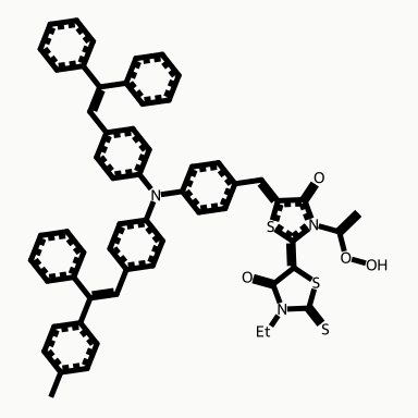 C=C(OO)n1c(=O)c(=Cc2ccc(N(c3ccc(C=C(c4ccccc4)c4ccccc4)cc3)c3ccc(/C=C(\c4ccccc4)c4ccc(C)cc4)cc3)cc2)s/c1=C1/SC(=S)N(CC)C1=O